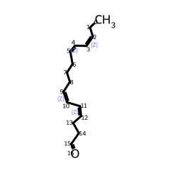 CC/C=C\C=C/CCC/C=C\C=C/CCC=O